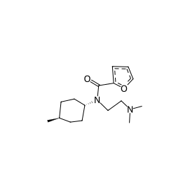 CN(C)CCN(C(=O)c1ccco1)[C@H]1CC[C@H](C)CC1